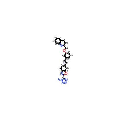 C(=C\c1ccc2nc(-c3nnn[nH]3)oc2c1)/c1cccc(OCc2ccc3ccccc3n2)c1